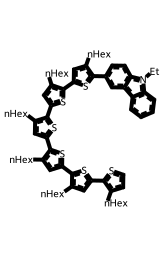 CCCCCCc1cc(-c2sc(-c3sc(-c4sc(-c5sc(-c6sccc6CCCCCC)cc5CCCCCC)cc4CCCCCC)cc3CCCCCC)cc2CCCCCC)sc1-c1ccc2c(c1)c1ccccc1n2CC